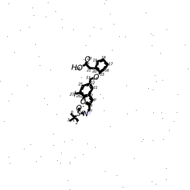 CC(C)(C)[S+]([O-])/N=C\c1cc2cc(COc3ccccc3CC(=O)O)cc(I)c2o1